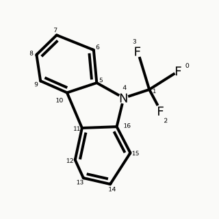 FC(F)(F)n1c2ccccc2c2ccccc21